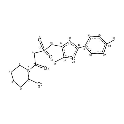 CCC1CCCCN1C(=O)CS(=O)(=O)Cc1nc(-c2ccc(C)cc2)oc1C